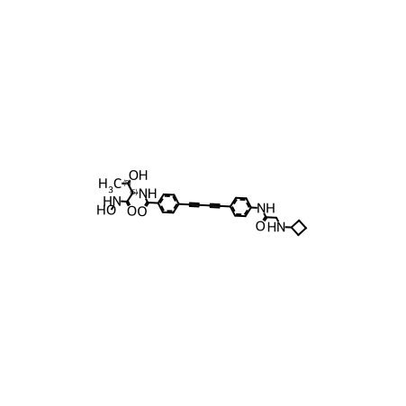 C[C@@H](O)[C@H](NC(=O)c1ccc(C#CC#Cc2ccc(NC(=O)CNC3CCC3)cc2)cc1)C(=O)NO